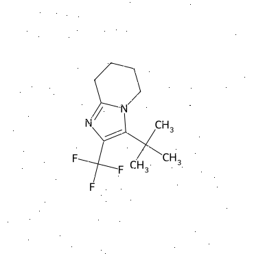 CC(C)(C)c1c(C(F)(F)F)nc2n1CCCC2